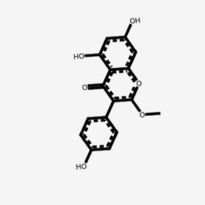 COc1oc2cc(O)cc(O)c2c(=O)c1-c1ccc(O)cc1